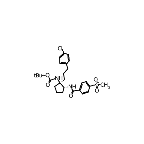 CC(C)(C)OC(=O)N[C@]1(CCCc2ccc(Cl)cc2)CCC[C@H]1NC(=O)c1ccc(S(C)(=O)=O)cc1